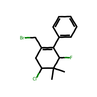 CC1(C)C(Cl)CC(CBr)=C(c2ccccc2)C1F